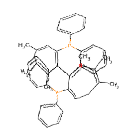 CC1=C(C)C(C)=C(c2c(P(c3ccccc3)c3ccccc3)cc(C)c(C)c2C)C(P(c2ccccc2)c2ccccc2)=CC1